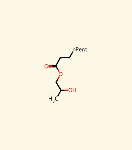 CCCCCCCC(=O)OCC(C)O